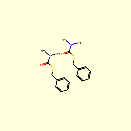 CCCN(CCC)C(=O)SCc1ccccc1.CCCN(CCC)C(=O)SCc1ccccc1